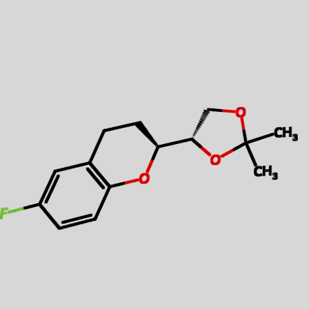 CC1(C)OC[C@@H]([C@@H]2CCc3cc(F)ccc3O2)O1